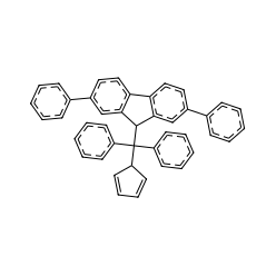 C1=CC(C(c2ccccc2)(c2ccccc2)C2c3cc(-c4ccccc4)ccc3-c3ccc(-c4ccccc4)cc32)C=C1